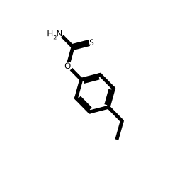 CCc1ccc(OC(N)=S)cc1